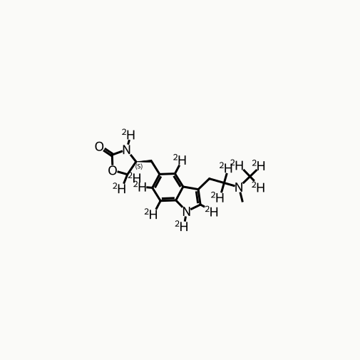 [2H]c1c(C[C@@H]2N([2H])C(=O)OC2([2H])[2H])c([2H])c2c(CC([2H])([2H])N(C)C([2H])([2H])[2H])c([2H])n([2H])c2c1[2H]